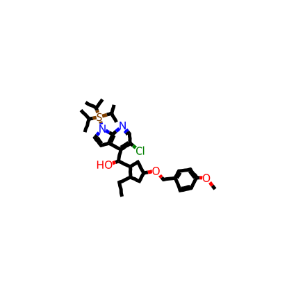 CCC1CC(OCc2ccc(OC)cc2)CC1C(O)c1c(Cl)cnc2c1ccn2S(C(C)C)(C(C)C)C(C)C